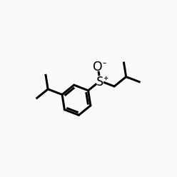 CC(C)C[S+]([O-])c1cccc(C(C)C)c1